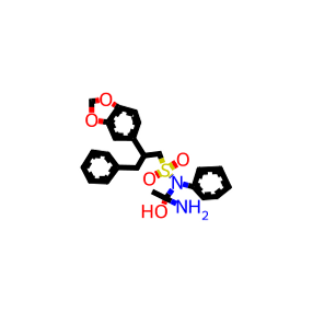 CC(N)(O)N(c1ccccc1)S(=O)(=O)CC(Cc1ccccc1)c1ccc2c(c1)OCO2